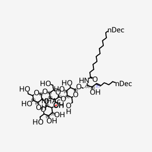 CCCCCCCCCCCCC/C=C/[C@@H](O)[C@H](CO[C@@H]1OC(CO)[C@@H](O[C@@H]2OC(CO)[C@H](O[C@@H]3OC(CO)[C@H](O)[C@H](O)C3NC(C)=O)[C@H](O[C@H]3OC(CO)[C@H](O)[C@H](O)C3O)C2O)[C@H](O)C1O)NC(=O)CCCCCCCCCCCCCCCCCCCCC